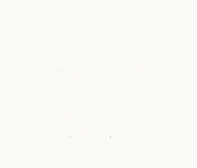 CCCCOCC1OC(c2cccc(C(=O)C3=Cc4ccccc4C3)c2)[C@H](OCCCC)C(OCCCC)[C@@H]1OCCCC